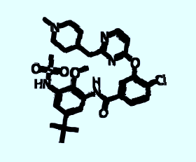 COc1c(NC(=O)c2ccc(Cl)c(Oc3ccnc(CC4CCN(C)CC4)n3)c2)cc(C(C)(C)C)cc1NS(C)(=O)=O